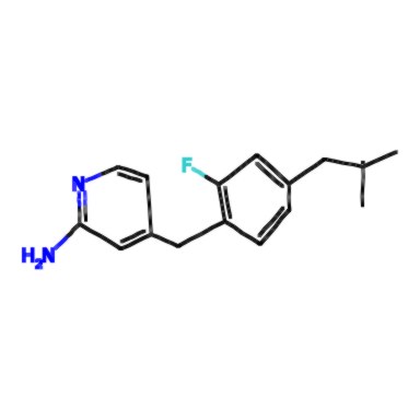 C[C](C)Cc1ccc(Cc2ccnc(N)c2)c(F)c1